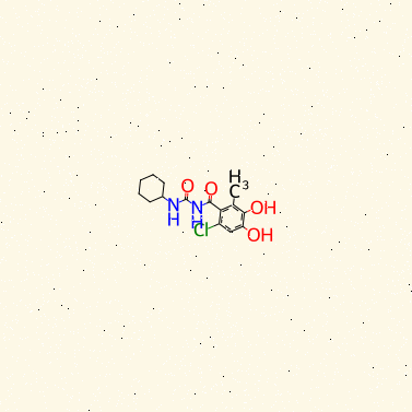 Cc1c(O)c(O)cc(Cl)c1C(=O)NC(=O)NC1CCCCC1